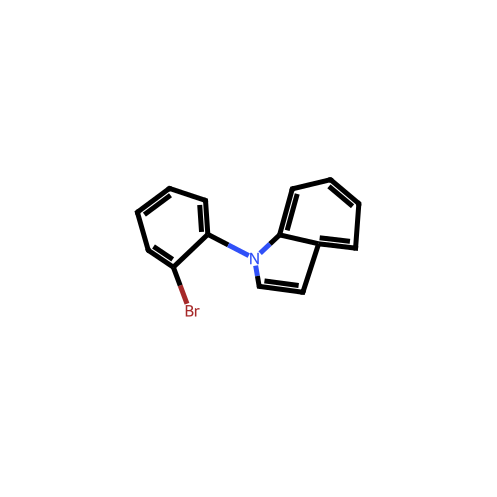 Brc1ccccc1-n1ccc2ccccc21